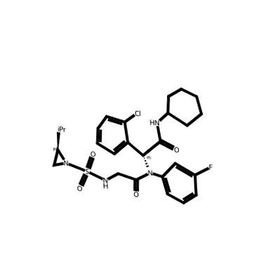 CC(C)[C@@H]1CN1S(=O)(=O)NCC(=O)N(c1cccc(F)c1)[C@@H](C(=O)NC1CCCCC1)c1ccccc1Cl